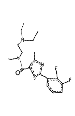 CCN(CC)CCN(C)C(=O)c1sc(-c2cccc(F)c2F)nc1C